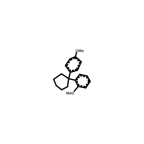 COc1ccc(C2(c3ccccc3OC)CCCCC2)cc1